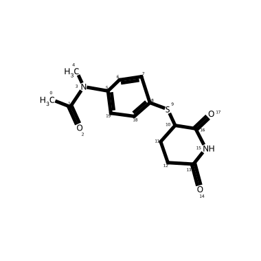 CC(=O)N(C)c1ccc(SC2CCC(=O)NC2=O)cc1